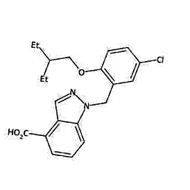 CCC(CC)COc1ccc(Cl)cc1Cn1ncc2c(C(=O)O)cccc21